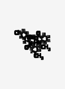 Cc1cc2c(c(C(C)Nc3ccccc3C(=O)OC(C)(C)C)c1)CN(C1Cc3ccc(Cl)cc3C1)C2=O